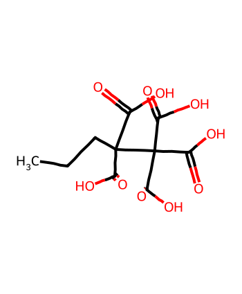 CCCC(C(=O)O)(C(=O)O)C(C(=O)O)(C(=O)O)C(=O)O